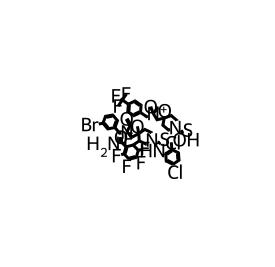 NC(=O)C1=C(F)C(F)=C(F)C(F)C1(F)C1CN(C(=S)Nc2cc(Cl)ccc2Cl)CCC12CN(Cc1cccc(Br)c1)C(=O)O2.OC(=S)N1CCC2(CC1)C[N+]1(Cc3ccc(C(F)(F)F)cc3)OC1O2